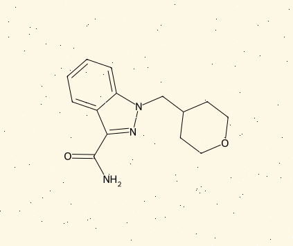 NC(=O)c1nn(CC2CCOCC2)c2ccccc12